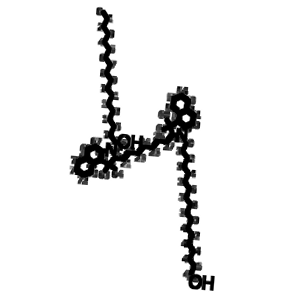 CCCCCCCCCCCCCCCCCC(O)[N+]1=C(/C=C/C=C/C=C/C=C2/N(CCCCCCCCCCCCCCCCCCO)c3ccc4ccccc4c3C2(C)C)C(C)(C)c2c1ccc1ccccc21